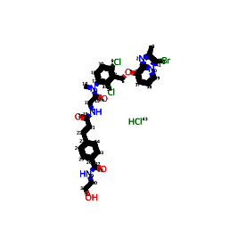 Cc1nc2c(OCc3c(Cl)ccc(N(C)C(=O)CNC(=O)C=Cc4ccc(C(=O)NCCO)cc4)c3Cl)cccn2c1Br.Cl